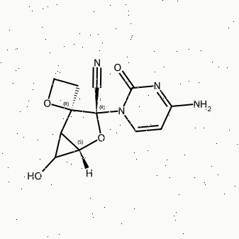 N#C[C@@]1(n2ccc(N)nc2=O)O[C@@H]2C(O)C2[C@]12CCO2